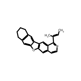 C/C=C(\C)c1nccc2cc3oc4cc5c(cc4c3cc12)CCCC5